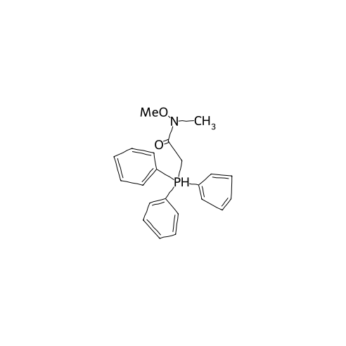 CON(C)C(=O)C[PH](c1ccccc1)(c1ccccc1)c1ccccc1